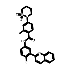 Cc1cc(N2CCCCS2(=O)=O)ccc1C(=O)Nc1ccc(Cl)c(-c2ccc3ccccc3n2)c1